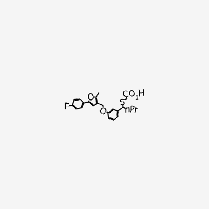 CCCC(SCC(=O)O)c1cccc(OCc2cc(-c3ccc(F)cc3)oc2C)c1